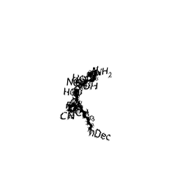 CCCCCCCCCCCCCCCCCCOC[C@H](COP(=O)(O)OC[C@@H](OC#N)[C@@H](O)[C@@H](O)c1ccc2c(N)ncnn12)Oc1cc(C)c(C#N)cc1F